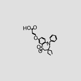 CCC1(CC)CN(c2ccccc2)c2ccc(O/C=C/C(=O)O)cc2S(=O)(=O)C1